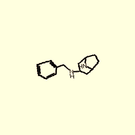 c1ccc(CNC2CC3CCC(C2)N3)cc1